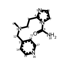 CN(CCc1n[c]cn1C(N)=O)Cc1ccncc1